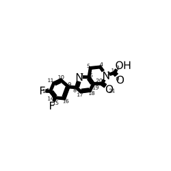 O=C(O)N1CCc2nc(-c3ccc(F)c(F)c3)ccc2C1=O